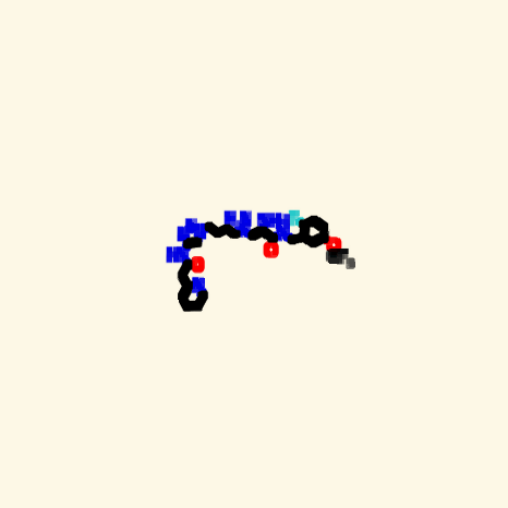 N/C(=C\N(N)CCCCn1cc(NC(=O)Cc2ccccn2)nn1)C(=O)NCc1cc(OC(F)(F)F)ccc1F